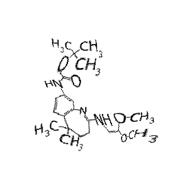 COC(CNC1=Nc2cc(NC(=O)OC(C)(C)C)ccc2C(C)(C)CC1)OC